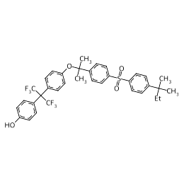 CCC(C)(C)c1ccc(S(=O)(=O)c2ccc(C(C)(C)Oc3ccc(C(c4ccc(O)cc4)(C(F)(F)F)C(F)(F)F)cc3)cc2)cc1